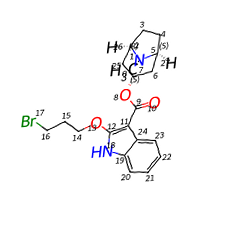 CN1[C@@H]2CC[C@H]1C[C@H](OC(=O)c1c(OCCCBr)[nH]c3ccccc13)C2